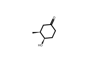 C[C@H]1CC(=O)CC[C@H]1O